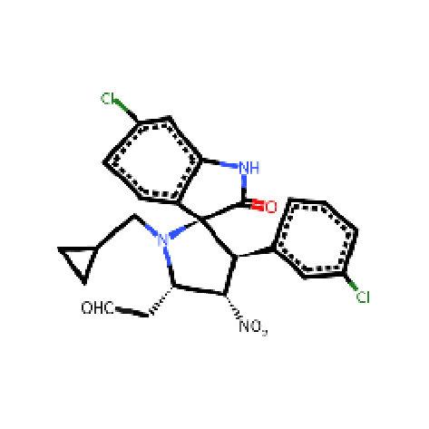 O=CC[C@H]1[C@@H]([N+](=O)[O-])[C@H](c2cccc(Cl)c2)[C@]2(C(=O)Nc3cc(Cl)ccc32)N1CC1CC1